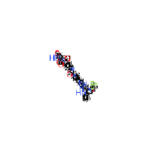 C[C@@H]1Cc2c([nH]c3ccccc23)[C@@H](c2cnc(N3CCC4(CCN(C(=O)CN5Cc6cc7c(cc6C5)C(=O)N(C5CCC(=O)NC5=O)C7=O)CC4)CC3)nc2)N1CC(F)(F)F